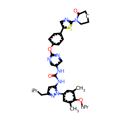 CCCOc1c(C)cc(-n2nc(CC(C)C)cc2NC(=O)Nc2cnc(Oc3ccc(-c4cnc(N5CCCCC5=O)s4)cc3)nc2)cc1C